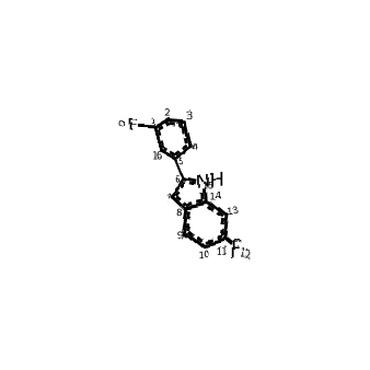 Fc1cccc(-c2cc3ccc(F)cc3[nH]2)c1